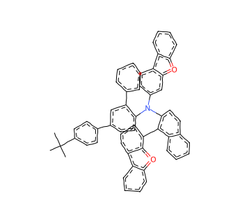 CC(C)(C)c1ccc(-c2ccc(N(c3ccc4c(c3)oc3ccccc34)c3ccc4ccccc4c3-c3cccc4c3oc3ccccc34)c(-c3ccccc3)c2)cc1